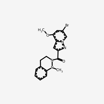 COc1cc(Br)cn2nc(C(=O)N3CCc4ccccc4N3C)cc12